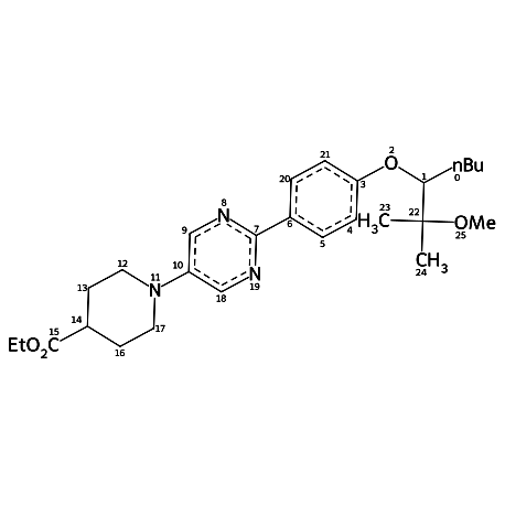 CCCCC(Oc1ccc(-c2ncc(N3CCC(C(=O)OCC)CC3)cn2)cc1)C(C)(C)OC